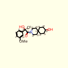 COc1cccc([C@@](O)(C(=O)N2CCC3(CCC(O)CC3)CC2)C(F)(F)F)c1